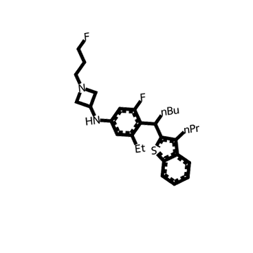 CCCCC(c1sc2ccccc2c1CCC)c1c(F)cc(NC2CN(CCCF)C2)cc1CC